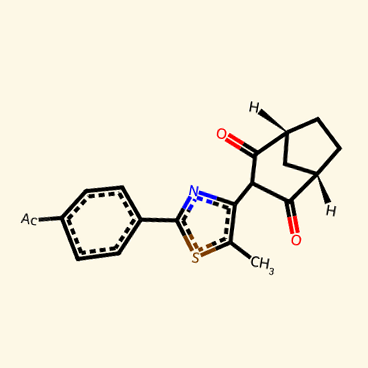 CC(=O)c1ccc(-c2nc(C3C(=O)[C@@H]4CC[C@@H](C4)C3=O)c(C)s2)cc1